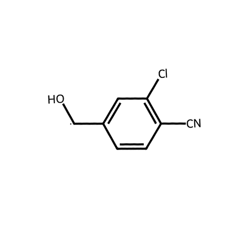 N#Cc1ccc([CH]O)cc1Cl